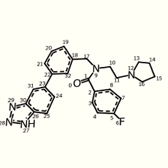 O=C(c1ccc(F)cc1)N(CCN1CCCC1)Cc1cccc(-c2ccc3[nH]nnc3c2)c1